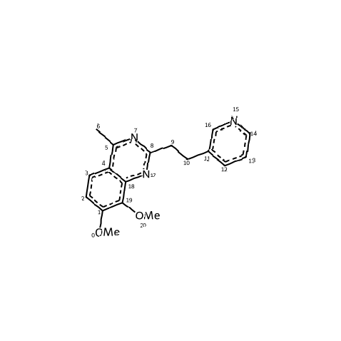 COc1ccc2c(C)nc(CCc3cccnc3)nc2c1OC